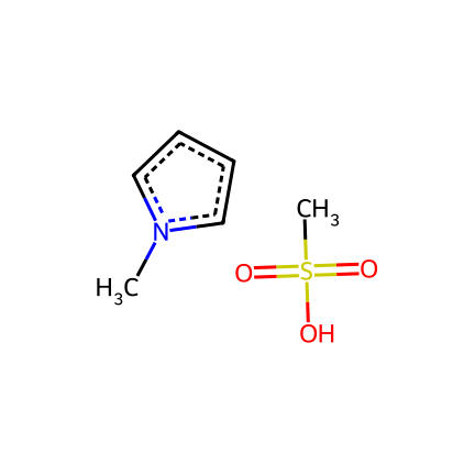 CS(=O)(=O)O.Cn1cccc1